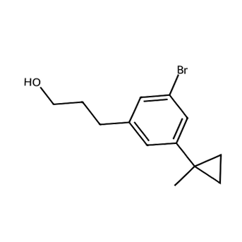 CC1(c2cc(Br)cc(CCCO)c2)CC1